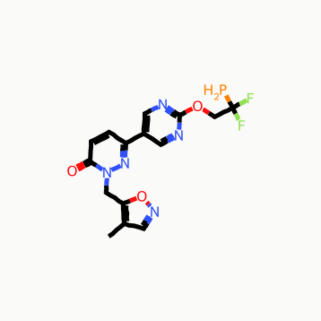 Cc1cnoc1Cn1nc(-c2cnc(OCC(F)(F)P)nc2)ccc1=O